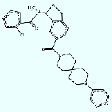 CN(C(=O)c1ccccc1Cl)C1CCc2ccc(C(=O)N3CCC4(CC3)CCN(c3ccncc3)CC4)cc21